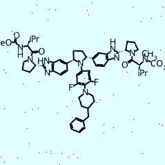 COC(=O)N[C@H](C(=O)N1CCC[C@H]1c1nc2ccc([C@H]3CC[C@H](c4ccc5nc([C@@H]6CCCN6C(=O)[C@H](C(C)C)N(C)C(=O)O)[nH]c5c4)N3c3cc(F)c(N4CCC(Cc5ccccc5)CC4)c(F)c3)cc2[nH]1)C(C)C